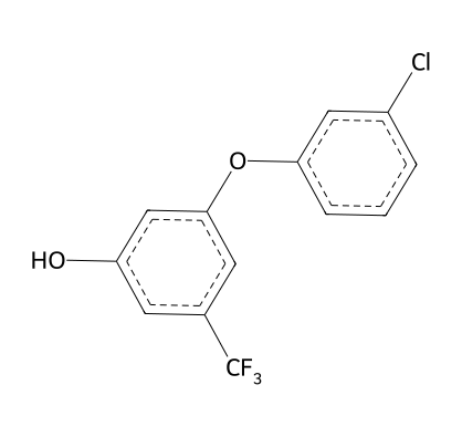 Oc1cc(Oc2cccc(Cl)c2)cc(C(F)(F)F)c1